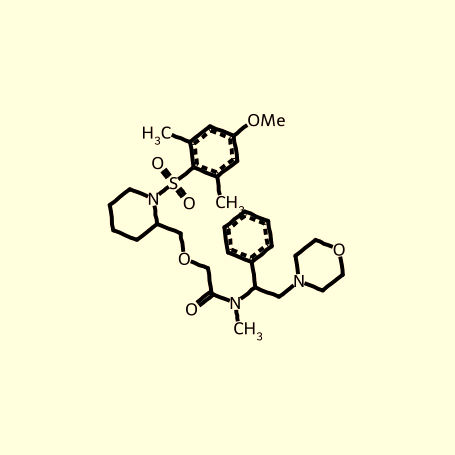 COc1cc(C)c(S(=O)(=O)N2CCCCC2COCC(=O)N(C)C(CN2CCOCC2)c2ccccc2)c(C)c1